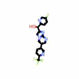 OC(c1ccc(F)cn1)c1cn2cc(-c3ccc(C(F)(F)F)nc3)cnc2n1